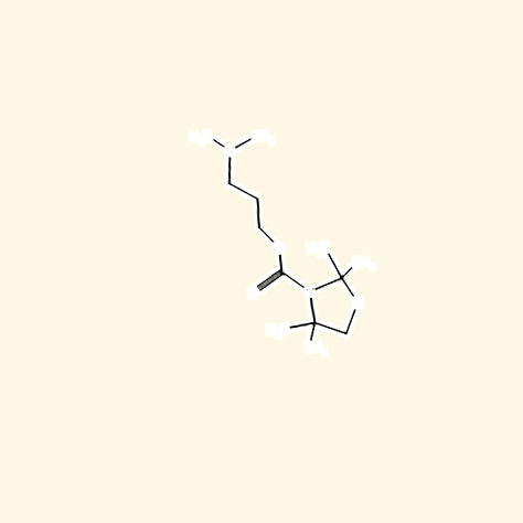 CN(C)CCCOC(=O)N1C(C)(C)COC1(C)C